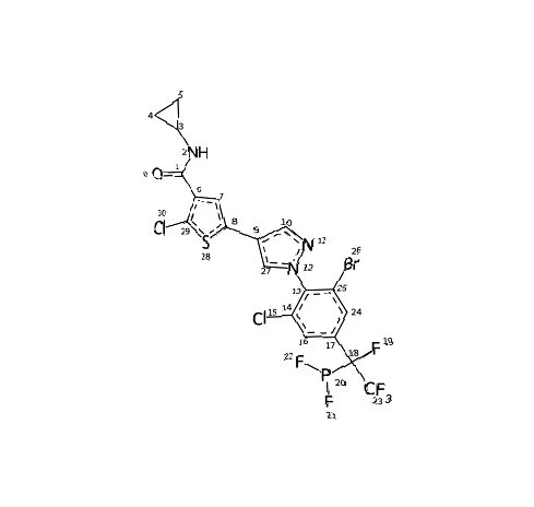 O=C(NC1CC1)c1cc(-c2cnn(-c3c(Cl)cc(C(F)(P(F)F)C(F)(F)F)cc3Br)c2)sc1Cl